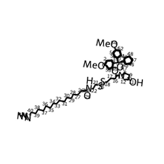 COc1ccc(C(OC[C@@H]2C[C@@H](O)CN2C(=O)CCCSSCCNC(=O)CCCCCCCCCCCCCCCN=[N+]=[N-])(c2ccccc2)c2ccc(OC)cc2)cc1